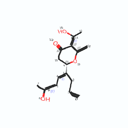 C=CC/C(=C\C=C(/C)O)[C@@H]1CC(=O)/C(=C(/C)O)C(=C)O1